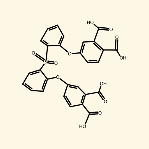 O=C(O)c1ccc(Oc2ccccc2S(=O)(=O)c2ccccc2Oc2ccc(C(=O)O)c(C(=O)O)c2)cc1C(=O)O